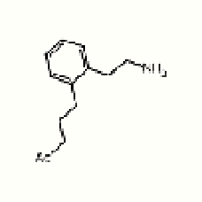 CC(=O)CCCc1ccccc1CCN